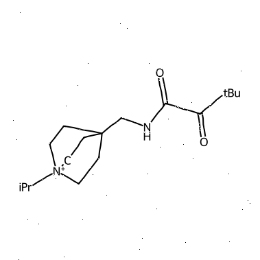 CC(C)[N+]12CCC(CNC(=O)C(=O)C(C)(C)C)(CC1)CC2